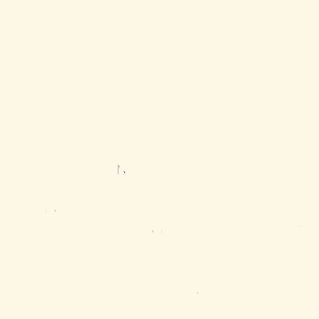 CC(=O)ON=C(CCCCl)c1ccc(F)cc1OC(C)=O